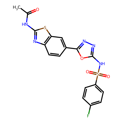 CC(=O)Nc1nc2ccc(-c3nnc(NS(=O)(=O)c4ccc(F)cc4)o3)cc2s1